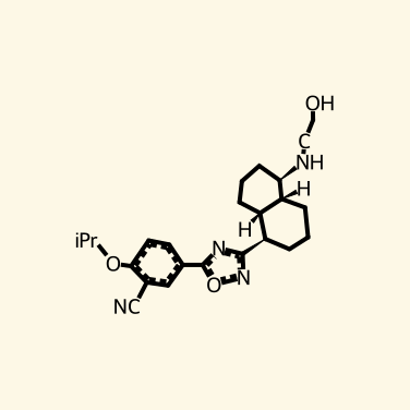 CC(C)Oc1ccc(-c2nc([C@@H]3CCC[C@@H]4[C@H]3CCC[C@H]4NCCO)no2)cc1C#N